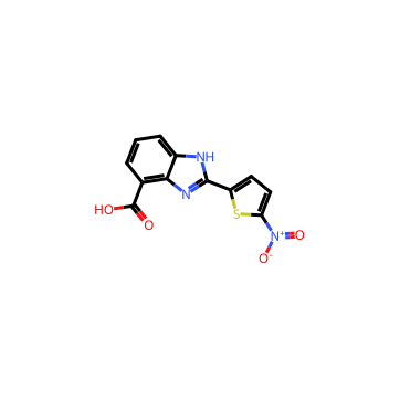 O=C(O)c1cccc2[nH]c(-c3ccc([N+](=O)[O-])s3)nc12